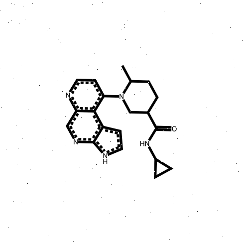 CC1CCC(C(=O)NC2CC2)CN1c1ccnc2cnc3[nH]ccc3c12